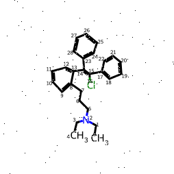 CCN(CC)CCCc1ccccc1C(=C(Cl)c1ccccc1)c1ccccc1